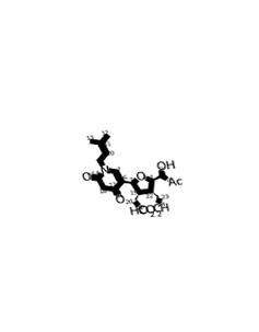 CC(=O)C(O)[C@@H]1O[C@H](C2=CN(CC=C(C)C)C(=O)CC2=O)[C@@H](CC(=O)O)[C@H]1CC(=O)O